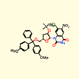 COc1ccc(C(OC[C@H]2[CH][C@@H](O[Si](C)(C)C(C)(C)C)[C@H](n3c(=O)[nH]c(=O)c4cc([N+](=O)[O-])c(Cl)cc43)O2)(c2ccccc2)c2ccc(OC)cc2)cc1